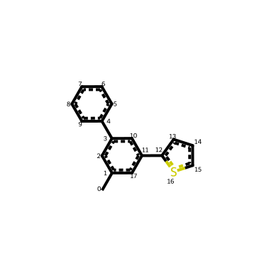 Cc1cc(-c2ccccc2)cc(-c2cccs2)c1